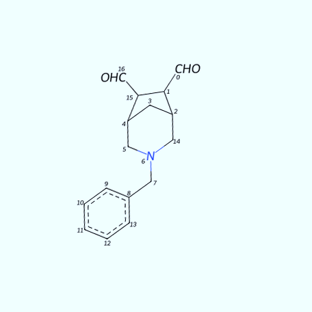 O=CC1C2CC(CN(Cc3ccccc3)C2)C1C=O